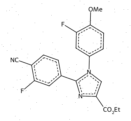 CCOC(=O)c1cn(-c2ccc(OC)c(F)c2)c(-c2ccc(C#N)c(F)c2)n1